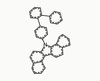 c1ccc(-c2ccccc2-c2ccc(-n3c4ccc5ccccc5c4c4ccc5ccccc5c43)cc2)cc1